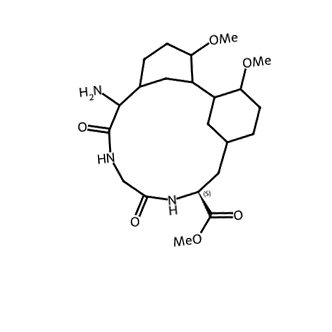 COC(=O)[C@@H]1CC2CCC(OC)C(C2)C2CC(CCC2OC)C(N)C(=O)NCC(=O)N1